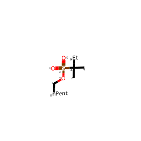 CCCCCCOS(=O)(=O)C(C)(C)CC